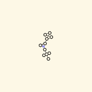 c1ccc(-c2c3ccccc3c(-c3ccc(-n4c5ccccc5c5cc(-c6ccc7c(c6)-c6ccccc6C76c7ccccc7-c7ccccc76)ccc54)cc3)c3ccccc23)cc1